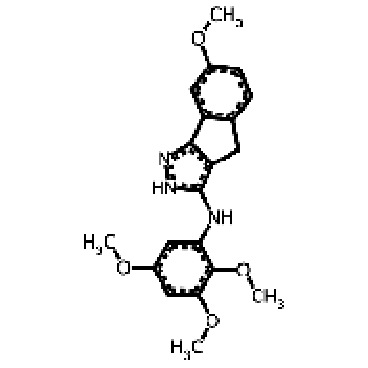 COc1cc(Nc2[nH]nc3c2Cc2ccc(OC)cc2-3)c(OC)c(OC)c1